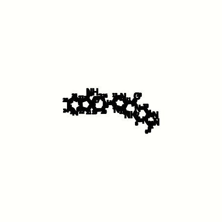 Cc1nnc2n1CCN(C(=O)c1ncc(N3CCC4(CC3)Cc3ncccc3C4N)nc1N)C2